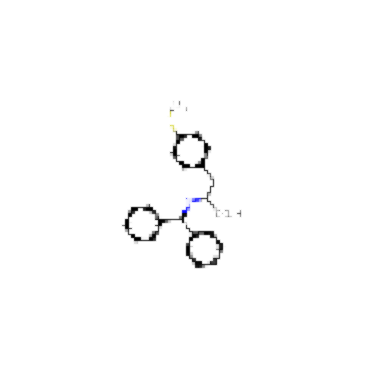 O=C(O)C(Cc1ccc(SC(F)(F)F)cc1)N=C(c1ccccc1)c1ccccc1